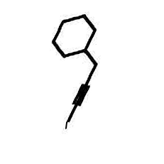 IC#CC[C]1CCCCC1